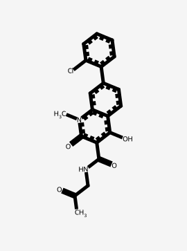 CC(=O)CNC(=O)c1c(O)c2ccc(-c3ccccc3Cl)cc2n(C)c1=O